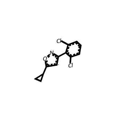 Clc1cccc(Cl)c1-c1[c]c(C2CC2)on1